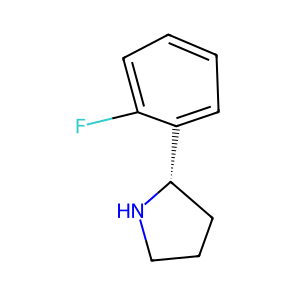 Fc1ccccc1[C@@H]1CCCN1